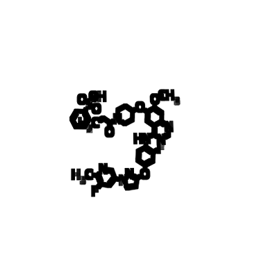 C=CC(=O)N1CCC(Oc2cc3c(Nc4ccc(Oc5ccn(-c6cnc(C)c(F)c6)n5)cc4F)ncnc3cc2OC)CC1.O=S(=O)(O)c1ccccc1